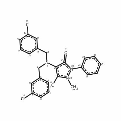 Cc1c(N(Cc2cccc(Cl)c2)Cc2cccc(Cl)c2)c(=O)n(-c2ccccc2)n1C